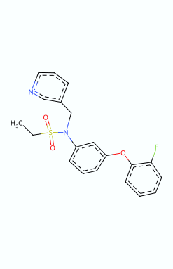 CCS(=O)(=O)N(Cc1cccnc1)c1cccc(Oc2ccccc2F)c1